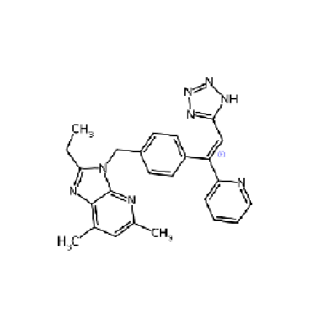 CCc1nc2c(C)cc(C)nc2n1Cc1ccc(/C(=C\c2nnn[nH]2)c2ccccn2)cc1